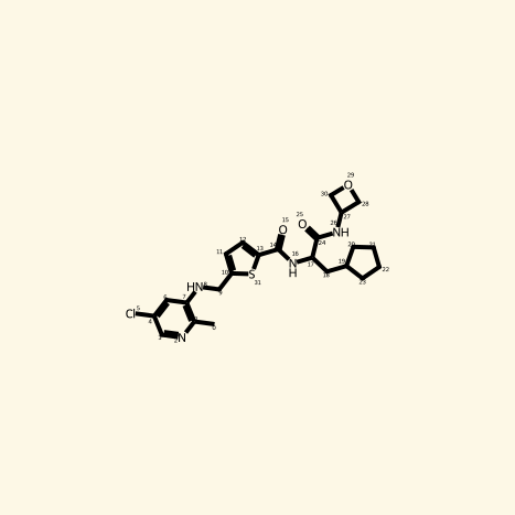 Cc1ncc(Cl)cc1NCc1ccc(C(=O)NC(CC2CCCC2)C(=O)NC2COC2)s1